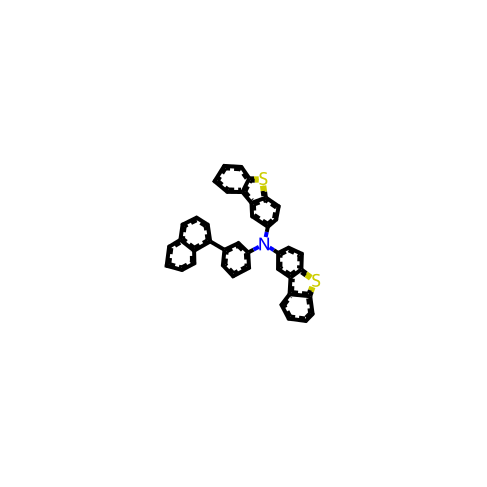 c1cc(-c2cccc3ccccc23)cc(N(c2ccc3sc4ccccc4c3c2)c2ccc3sc4ccccc4c3c2)c1